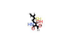 CCC(C)C(S)CC1NC(=O)C(C(C)=O)C1O